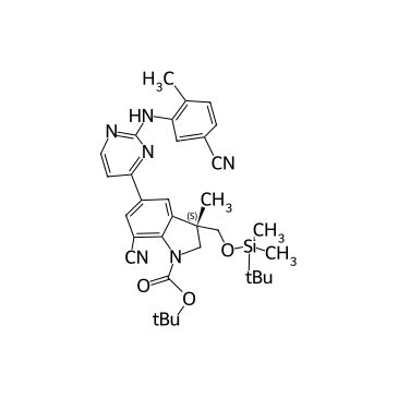 Cc1ccc(C#N)cc1Nc1nccc(-c2cc(C#N)c3c(c2)[C@](C)(CO[Si](C)(C)C(C)(C)C)CN3C(=O)OC(C)(C)C)n1